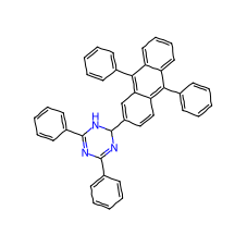 c1ccc(C2=NC(c3ccc4c(-c5ccccc5)c5ccccc5c(-c5ccccc5)c4c3)NC(c3ccccc3)=N2)cc1